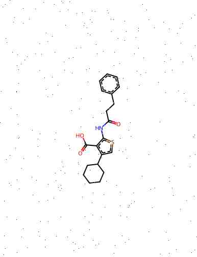 O=C(CCc1ccccc1)Nc1scc(C2CCCCC2)c1C(=O)O